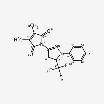 CC1=C(C)C(=O)N(C2=NN(c3ccccc3)C(C(F)(F)F)C2)C1=O